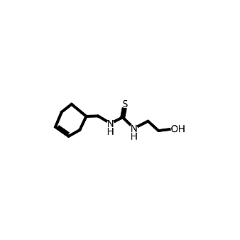 OCCNC(=S)NCC1CC=CCC1